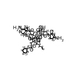 C=CCCC(=O)NC(CCC(=O)Sc1ccccc1)C(=O)O[C@H]1[C@@H](O)[C@H](n2cnc3c(N)ncnc32)O[C@@H]1COP(=O)(O)O[C@H]1C[C@H](n2ccc(N)nc2=O)O[C@@H]1COP(=O)(O)O